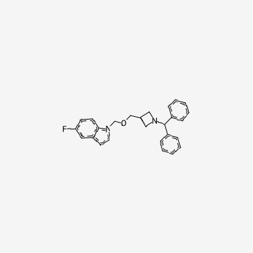 Fc1ccc2c(ccn2COCC2CN(C(c3ccccc3)c3ccccc3)C2)c1